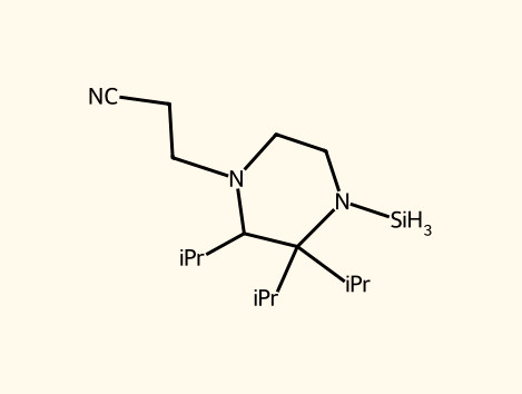 CC(C)C1N(CCC#N)CCN([SiH3])C1(C(C)C)C(C)C